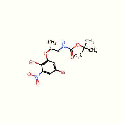 C[C@H](CNC(=O)OC(C)(C)C)Oc1cc(Br)cc([N+](=O)[O-])c1Br